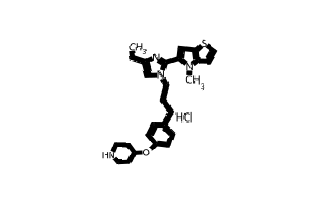 CCc1cn(CCCc2ccc(OC3CCNCC3)cc2)c(-c2cc3sccc3n2C)n1.Cl